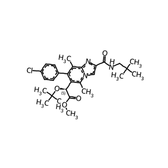 COC(=O)[C@@H](OC(C)(C)C)c1c(-c2ccc(Cl)cc2)c(C)c2nc(C(=O)NCC(C)(C)C)cn2c1C